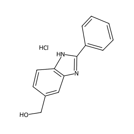 Cl.OCc1ccc2[nH]c(-c3ccccc3)nc2c1